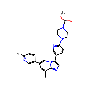 Cc1cc(-c2ccc(C#N)nc2)cn2c(-c3ccc(N4CCN(C(=O)OC(C)(C)C)CC4)nc3)cnc12